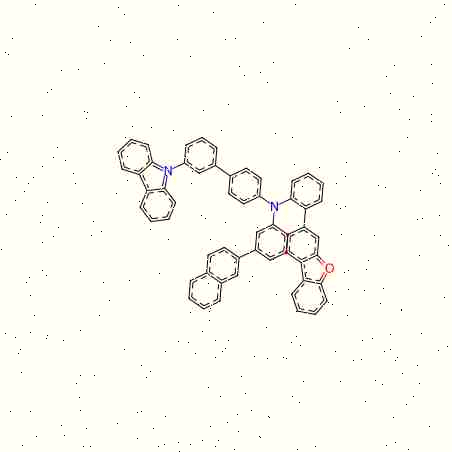 c1cc(-c2ccc3ccccc3c2)cc(N(c2ccc(-c3cccc(-n4c5ccccc5c5ccccc54)c3)cc2)c2ccccc2-c2ccc3c(c2)oc2ccccc23)c1